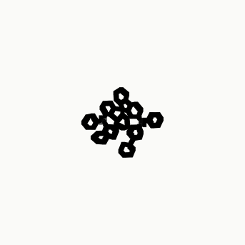 C1=CCCC(c2ccc(N(c3ccccc3)C3C=CC4C5C=CC=CC5C5(C6C=CC=CC6C6C(N(C7=CC=CCC7)c7cccc8ccccc78)=CC=CC65)C4C3)cc2)=C1